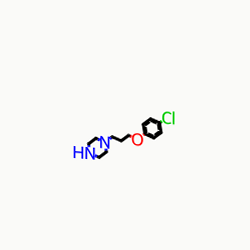 Clc1ccc(OCCCN2CCNCC2)cc1